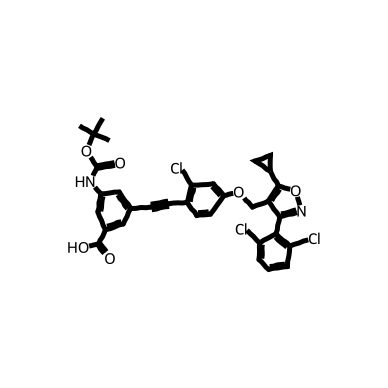 CC(C)(C)OC(=O)Nc1cc(C#Cc2ccc(OCc3c(-c4c(Cl)cccc4Cl)noc3C3CC3)cc2Cl)cc(C(=O)O)c1